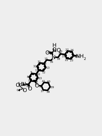 CS(=O)(=O)NC(=O)c1ccc(-c2ccc(CCN(C[C@H](O)c3ccc(N)cc3)C(=O)O)cc2)cc1OC1CCCCC1